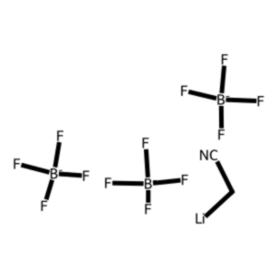 F[B-](F)(F)F.F[B-](F)(F)F.F[B-](F)(F)F.[Li][CH2]C#N